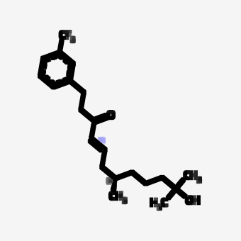 C[C@@H](C/C=C/C(=O)CCc1cccc(C(F)(F)F)c1)CCCC(C)(C)O